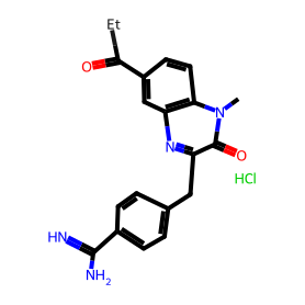 CCC(=O)c1ccc2c(c1)nc(Cc1ccc(C(=N)N)cc1)c(=O)n2C.Cl